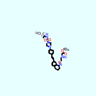 C[C@@H](NS(=O)(=O)N1CCN(c2ccc(C#Cc3ccc4c(c3)/C(=N\OCCNCC(=O)OC(C)(C)C)CCC4)cc2)CC1)C(=O)O